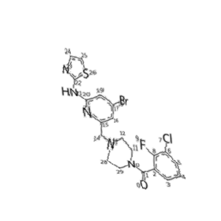 O=C(c1cccc(Cl)c1F)N1CCN(Cc2cc(Br)cc(Nc3nccs3)n2)CC1